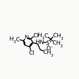 CCC(N[S+]([O-])C(C)(C)C)c1c(Cl)cc(C)nc1Cl